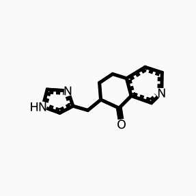 O=C1c2cnccc2CCC1Cc1c[nH]cn1